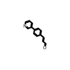 O=CC=Cc1ccc(-c2cccnc2)cc1